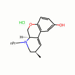 CCCN1C[C@H](C)C=C2c3cc(O)ccc3OC[C@@H]21.Cl